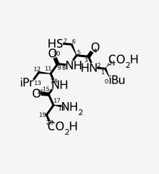 CC[C@H](C)[C@H](NC(=O)[C@H](CS)NC(=O)[C@H](CC(C)C)NC(=O)[C@@H](N)CC(=O)O)C(=O)O